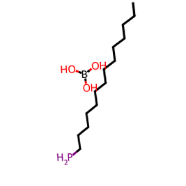 CCCCCCCCCCCCCCP.OB(O)O